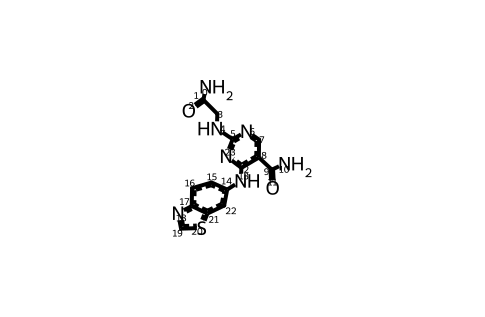 NC(=O)CNc1ncc(C(N)=O)c(Nc2ccc3ncsc3c2)n1